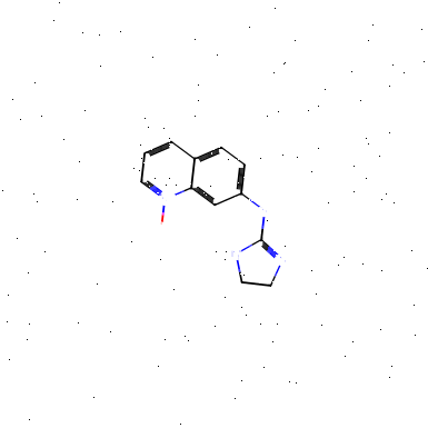 [O-][n+]1cccc2ccc(NC3=NCCN3)cc21